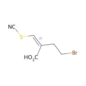 N#CS/C=C(/CCBr)C(=O)O